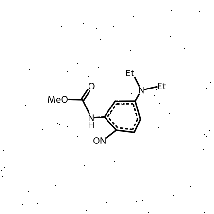 CCN(CC)c1ccc(N=O)c(NC(=O)OC)c1